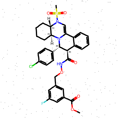 COC(=O)c1cc(F)cc(CONC(=O)[C@@H]2c3ccccc3C3=CN(S(C)(=O)=O)[C@H]4CCCC[C@@H]4N3[C@H]2c2ccc(Cl)cc2)c1